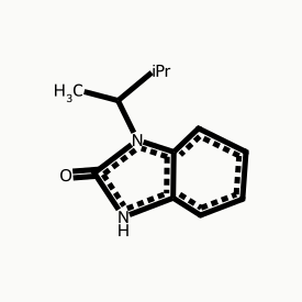 CC(C)C(C)n1c(=O)[nH]c2ccccc21